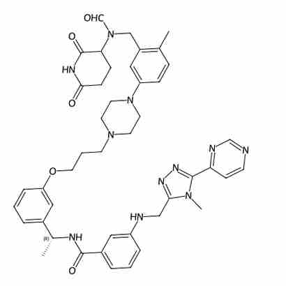 Cc1ccc(N2CCN(CCCOc3cccc([C@@H](C)NC(=O)c4cccc(NCc5nnc(-c6ccncn6)n5C)c4)c3)CC2)cc1CN(C=O)C1CCC(=O)NC1=O